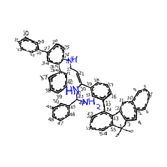 CC1(C)c2cc3ccccc3cc2-c2c(-c3cccc(/C(=C/CNc4ccc(-c5ccccc5)cc4-c4ccccc4)NC(N)c4ccccc4)c3)cccc21